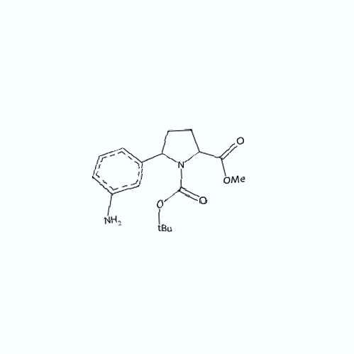 COC(=O)C1CCC(c2cccc(N)c2)N1C(=O)OC(C)(C)C